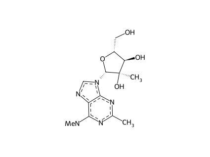 CNc1nc(C)nc2c1ncn2[C@@H]1O[C@H](CO)[C@@H](O)[C@@]1(C)O